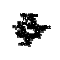 Br.Br.CCCCCCCC[Si](C)(C)C1=CCC(c2ccc([Si](C)(C)CCCCCCCC)c3cc([Si](C)(C)CCCCCCCC)ccc23)c2ccc([Si](C)(C)C[C@H](N)CCCCCC)cc21.CCCCCCCC[Si](C)(C)C1=CCC(c2ccc([Si](C)(C)CCCCCCCC)c3cc([Si](C)(C)CCCCCCCC)ccc23)c2ccc([Si](C)(C)C[C@H](N)CCCCCC)cc21